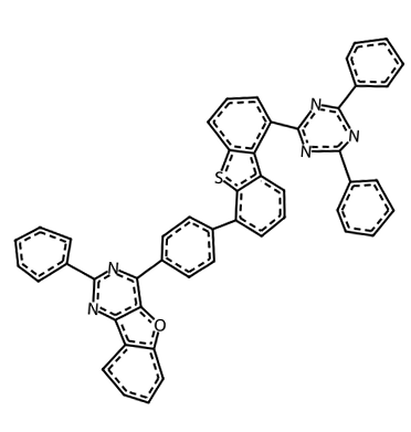 c1ccc(-c2nc(-c3ccccc3)nc(-c3cccc4sc5c(-c6ccc(-c7nc(-c8ccccc8)nc8c7oc7ccccc78)cc6)cccc5c34)n2)cc1